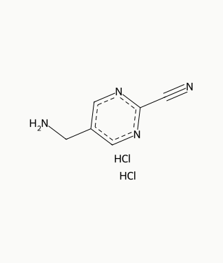 Cl.Cl.N#Cc1ncc(CN)cn1